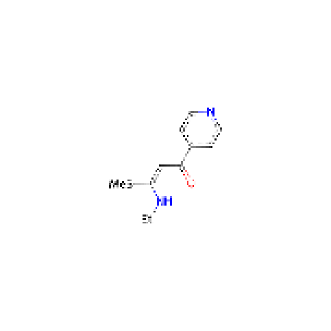 CCNC(=CC(=O)c1ccncc1)SC